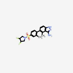 Cc1cc(S(=O)(=O)N2CC(F)C(F)C2)ccc1-c1ccc2[nH]nc(N)c2c1C